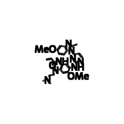 C=CC(=O)Nc1cc(Nc2nccc(-n3c(C)nc4cc(OC)ccc43)n2)c(OC)cc1N(C)CCN(C)C